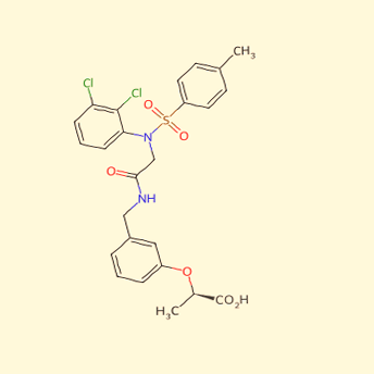 Cc1ccc(S(=O)(=O)N(CC(=O)NCc2cccc(O[C@H](C)C(=O)O)c2)c2cccc(Cl)c2Cl)cc1